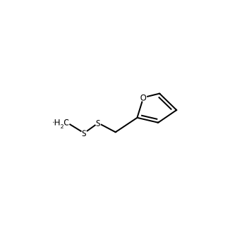 [CH2]SSCc1ccco1